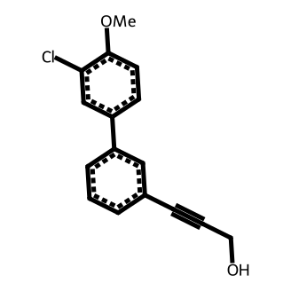 COc1ccc(-c2cccc(C#CCO)c2)cc1Cl